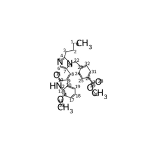 CCCCc1ncc(C=C2C(=O)Nc3c(OC)cccc32)n1Cc1ccc(C(=O)OC)cc1